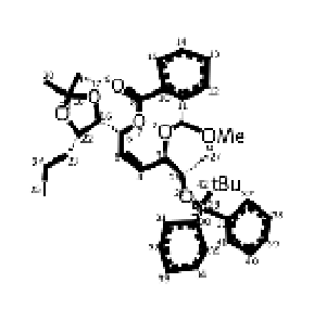 COCO[C@H](/C=C\C(OC(=O)c1ccccc1)[C@H]1OC(C)(C)O[C@H]1CCI)[C@H](C)O[Si](c1ccccc1)(c1ccccc1)C(C)(C)C